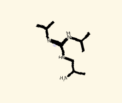 CC(N)CN/C(=N/C(C)C)NC(C)C